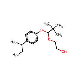 CCC(C)c1ccc(OC(OCCO)C(C)(C)C)cc1